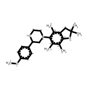 COc1ccc(C2CN(c3c(C)c(C)c4c(c3C)CC(C)(C)O4)CCO2)cc1